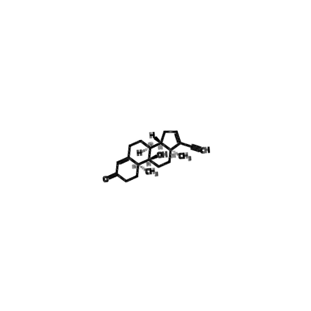 C#CC1=CC[C@H]2[C@@H]3CCC4=CC(=O)CC[C@]4(C)[C@@]3(O)CC[C@]12C